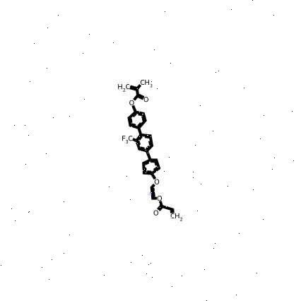 C=CC(=O)O/C=C\Oc1ccc(-c2ccc(-c3ccc(OC(=O)C(=C)C)cc3)c(C(F)(F)F)c2)cc1